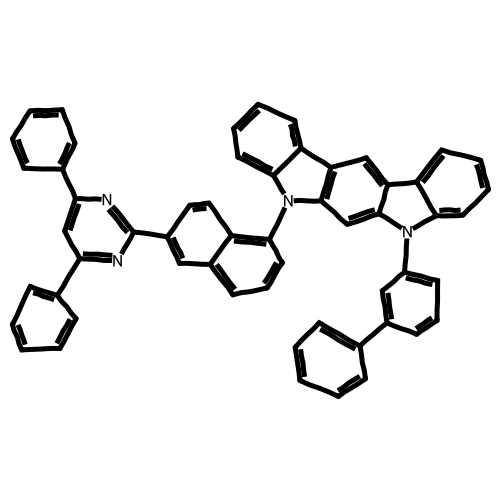 c1ccc(-c2cccc(-n3c4ccccc4c4cc5c6ccccc6n(-c6cccc7cc(-c8nc(-c9ccccc9)cc(-c9ccccc9)n8)ccc67)c5cc43)c2)cc1